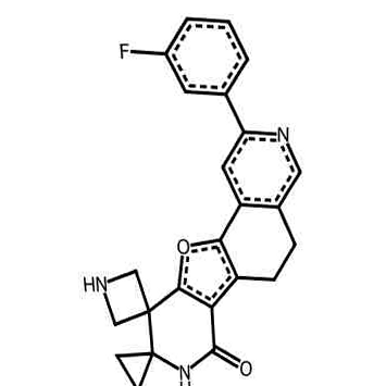 O=C1NC2(CC2)C2(CNC2)c2oc3c(c21)CCc1cnc(-c2cccc(F)c2)cc1-3